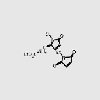 CCN1C(=O)C=CC1=O.CCN1C(=O)C=CC1=O.CCOC(N)=O